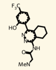 CNCC(=O)Nc1nnc(-c2ccc(C(F)(F)F)cc2O)c2c1CCCC2